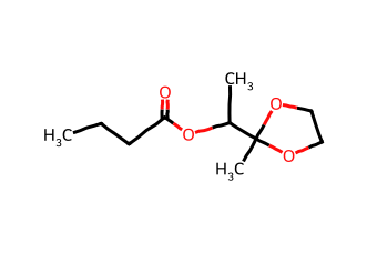 CCCC(=O)OC(C)C1(C)OCCO1